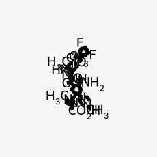 CN1CCN(c2cc(C(N)=O)c(C(=O)Nc3n[nH]c4c3CN(S(=O)(=O)c3cc(F)cc(F)c3)C4(C)C)cc2-c2nc(C(=O)O)cn2C)CC1